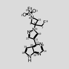 CCS(=O)(=O)N1CC(CF)(n2cc(-c3ncnc4[nH]ccc34)cn2)C1